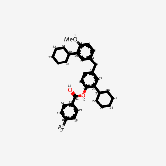 COc1ccc(Cc2ccc(OC(=O)c3ccc(C(C)=O)cc3)c(C3CCCCC3)c2)cc1C1CCCCC1